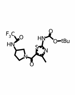 Cc1nc(NC(=O)OC(C)(C)C)sc1C(=O)N1CCC(NC(=O)C(F)(F)F)C1